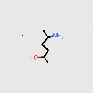 C[C@@H](N)CC[C@@H](C)O